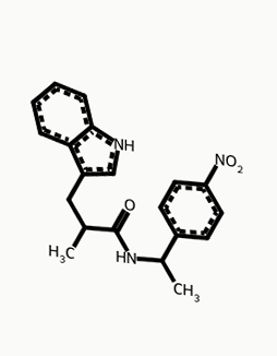 CC(Cc1c[nH]c2ccccc12)C(=O)NC(C)c1ccc([N+](=O)[O-])cc1